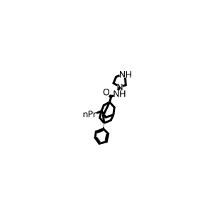 CCCC12CC3CC(C(=O)NN4CCNCC4)(C1)C[C@@](c1ccccc1)(C3)C2